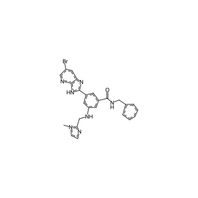 Cn1ccnc1CNc1cc(C(=O)NCc2ccccc2)cc(-c2nc3cc(Br)cnc3[nH]2)c1